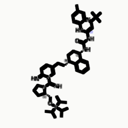 Cc1ccc(N/C(=C\C(=N)C(C)(C)C)NC(=O)N[C@H]2CC[C@@H](CCc3ccc(=N)n(C(=N)N4CCC[C@H]4CO[Si](C(C)C)(C(C)C)C(C)C)c3)c3ccccc32)cc1